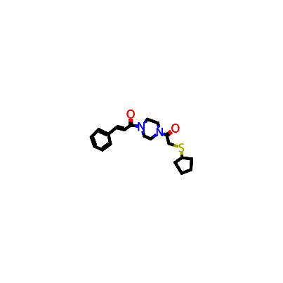 O=C(/C=C/c1ccccc1)N1CCN(C(=O)CSC2CCCC2)CC1